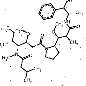 CC[C@@H](C)[C@H]([C@H](CC(=O)N1CCC[C@@H]1[C@@H](OC)[C@H](C)C(=O)N[C@@H](C)C(O)c1ccccc1)OC)N(C)C(=O)CC(C)C